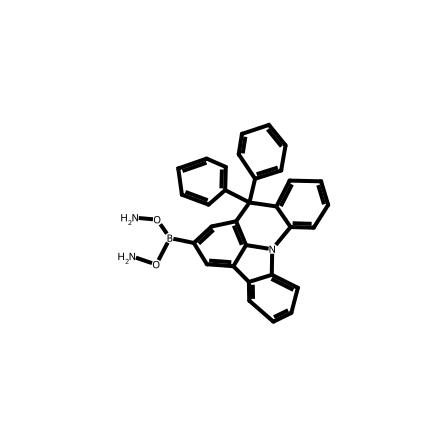 NOB(ON)c1cc2c3c(c1)c1ccccc1n3-c1ccccc1C2(c1ccccc1)c1ccccc1